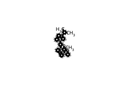 Cc1cc(C)cc(-n2c3ccccc3c3c(N(c4ccccc4)c4ccc5c(c4)Sc4c(C)c6c7c8c4B5c4cccc5c9cccc(c9n-8c45)B7c4ccccc4O6)cccc32)c1